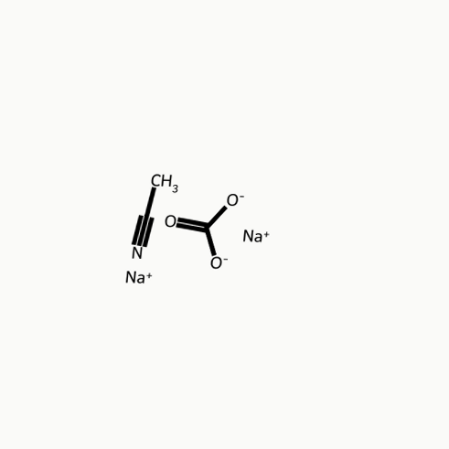 CC#N.O=C([O-])[O-].[Na+].[Na+]